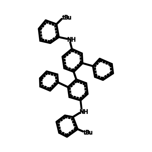 CC(C)(C)c1ccccc1Nc1ccc(-c2ccc(Nc3ccccc3C(C)(C)C)cc2-c2ccccc2)c(-c2ccccc2)c1